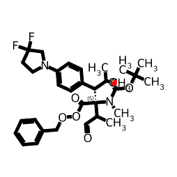 CC(C)C(c1ccc(N2CCC(F)(F)C2)cc1)[C@@](C(=O)OOCc1ccccc1)(C(C)C=O)N(C)C(=O)OC(C)(C)C